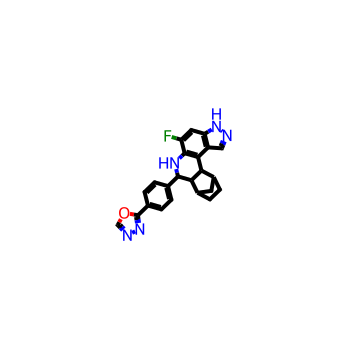 Fc1cc2[nH]ncc2c2c1NC(c1ccc(-c3nnco3)cc1)C1C3CCC(C3)C21